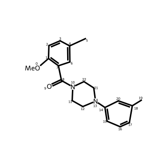 COc1ccc(C)cc1C(=O)N1CCN(c2cccc(C)c2)CC1